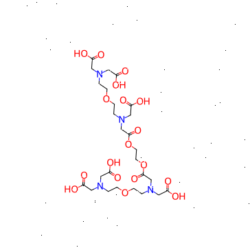 O=C(O)CN(CCOCCN(CC(=O)O)CC(=O)OCCOC(=O)CN(CCOCCN(CC(=O)O)CC(=O)O)CC(=O)O)CC(=O)O